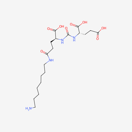 NCCCCCCCCNC(=O)CC[C@H](NC(=O)N[C@@H](CCC(=O)O)C(=O)O)C(=O)O